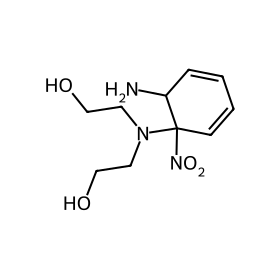 NC1C=CC=CC1(N(CCO)CCO)[N+](=O)[O-]